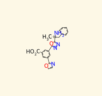 C[C@](N)(Cc1ccccc1)c1nnc(-c2cc(C(=O)O)cc(-c3ncco3)c2)o1